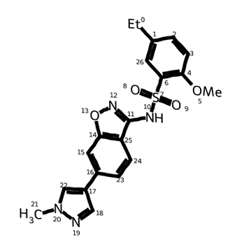 CCc1ccc(OC)c(S(=O)(=O)Nc2noc3cc(-c4cnn(C)c4)ccc23)c1